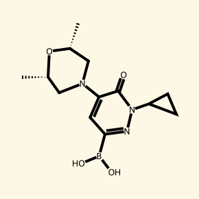 C[C@@H]1CN(c2cc(B(O)O)nn(C3CC3)c2=O)C[C@H](C)O1